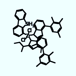 CCC(C)C1=Cc2c(-c3cc(C)cc(C)c3C)cccc2[CH]1[Zr]([Cl])([Cl])([c]1cccc2c1[SiH2]c1ccccc1-2)[CH]1C(C(C)CC)=Cc2c(-c3cc(C)cc(C)c3C)cccc21